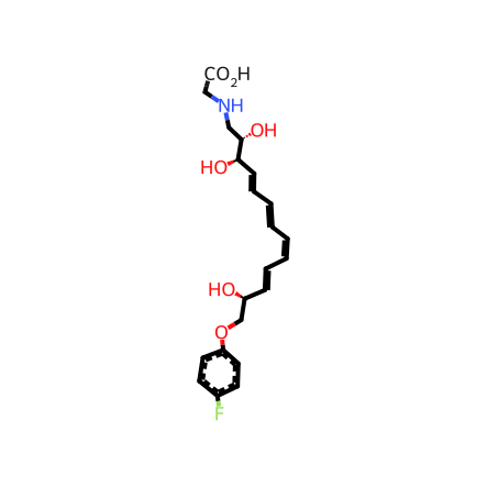 O=C(O)CNC[C@H](O)[C@H](O)/C=C/C=C/C=C\C=C\[C@H](O)COc1ccc(F)cc1